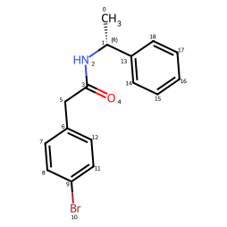 C[C@@H](NC(=O)Cc1ccc(Br)cc1)c1ccccc1